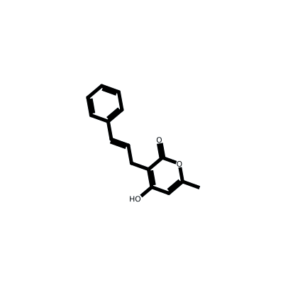 Cc1cc(O)c(CC=Cc2ccccc2)c(=O)o1